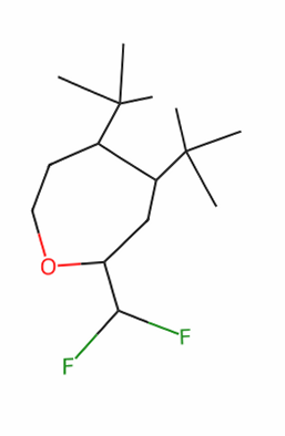 CC(C)(C)C1CCOC(C(F)F)CC1C(C)(C)C